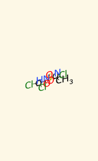 Cc1cc(S(=O)(=O)NC(=O)c2ccc(Cl)cc2Cl)cnc1Cl